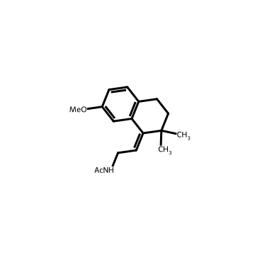 COc1ccc2c(c1)/C(=C\CNC(C)=O)C(C)(C)CC2